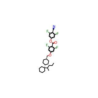 CCCC(C)C1([C@H]2CC[C@H](COc3cc(F)c(C(=O)Oc4cc(F)c(C#N)c(F)c4)c(F)c3)CC2)CCCCC1